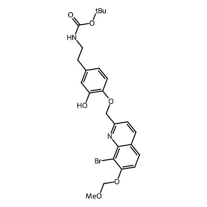 COCOc1ccc2ccc(COc3ccc(CCNC(=O)OC(C)(C)C)cc3O)nc2c1Br